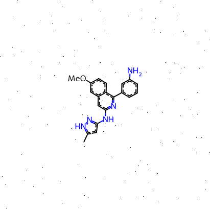 COc1ccc2c(-c3cccc(N)c3)nc(Nc3cc(C)[nH]n3)cc2c1